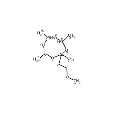 COCC[Si]1(C)O[SiH](C)O[SiH](C)O[SiH](C)O1